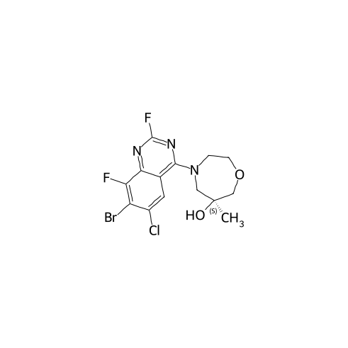 C[C@@]1(O)COCCN(c2nc(F)nc3c(F)c(Br)c(Cl)cc23)C1